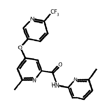 Cc1cccc(NC(=O)c2cc(Oc3ccc(C(F)(F)F)nc3)cc(C)n2)n1